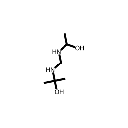 CC(O)NCNC(C)(C)O